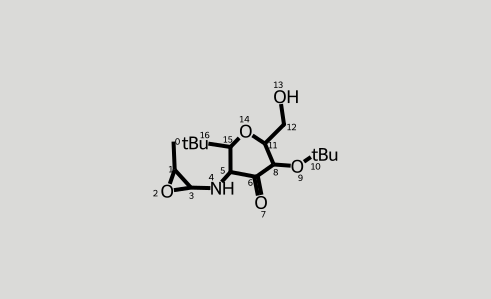 CC1OC1NC1C(=O)C(OC(C)(C)C)C(CO)OC1C(C)(C)C